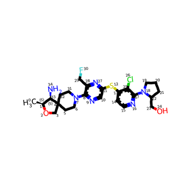 C[C@@H]1OCC2(CCN(c3ncc(Sc4ccnc(N5CCCC5CO)c4Cl)nc3CF)CC2)[C@@H]1N